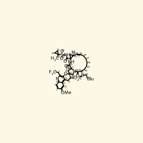 COc1ccc2nc(CC(F)(F)F)c3c(c2c1)CC[C@]1(C[C@H]2C(=O)N[C@]4(C(=O)NS(=O)(=O)C5(C)CC5)C[C@H]4/C=C\CCCCC[C@H](N(CC(C)(C)C)C(=O)O)C(=O)N2C1)O3